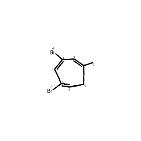 CC1=CC(Br)=CC(Br)=CC1